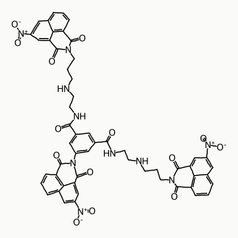 O=C(NCCNCCCN1C(=O)c2cccc3cc([N+](=O)[O-])cc(c23)C1=O)c1cc(C(=O)NCCNCCCN2C(=O)c3cccc4cc([N+](=O)[O-])cc(c34)C2=O)cc(N2C(=O)c3cccc4cc([N+](=O)[O-])cc(c34)C2=O)c1